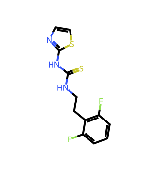 Fc1cccc(F)c1CCNC(=S)Nc1nccs1